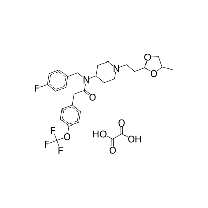 CC1COC(CCN2CCC(N(Cc3ccc(F)cc3)C(=O)Cc3ccc(OC(F)(F)F)cc3)CC2)O1.O=C(O)C(=O)O